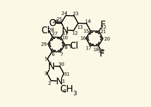 CN1CCN(Cc2cc(Cl)c(N3CC(Cc4ccc(F)cc4F)CCC3=O)c(Cl)c2)CC1